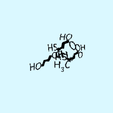 CC(S)CCC(=O)O.CC(S)CCC(=O)O.OCCCCO